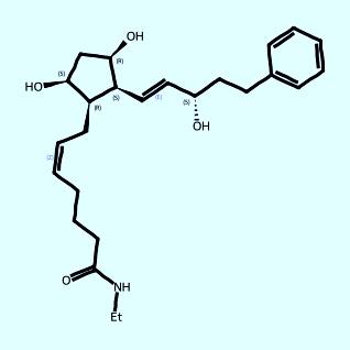 CCNC(=O)CCC/C=C\C[C@@H]1[C@H](/C=C/[C@@H](O)CCc2ccccc2)[C@H](O)C[C@@H]1O